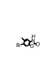 [CH2]c1cc2[nH]c(=O)oc2cc1Br